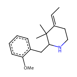 CC=C1CCNC(Cc2ccccc2OC)C1(C)C